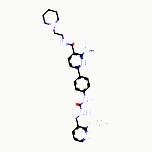 CCNc1nc(-c2ccc(NC(=O)NCc3cccnc3OC)cc2)ccc1C(=O)NCCN1CCCCC1